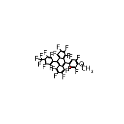 COc1c(F)c(F)c(-c2c3c(F)c(F)c(F)c(F)c3c(-c3c(F)c(F)c(C(F)(F)F)c(F)c3F)c3c(F)c(F)c(F)c(F)c23)c(F)c1F